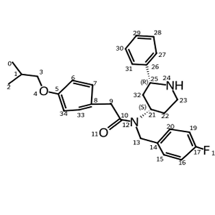 CC(C)COc1ccc(CC(=O)N(Cc2ccc(F)cc2)[C@H]2CCN[C@@H](c3ccccc3)C2)cc1